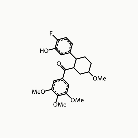 COc1cc(C(=O)C2CC(OC)CCC2c2ccc(F)c(O)c2)cc(OC)c1OC